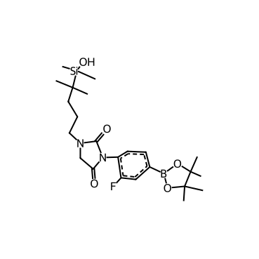 CC1(C)OB(c2ccc(N3C(=O)CN(CCCC(C)(C)[Si](C)(C)O)C3=O)c(F)c2)OC1(C)C